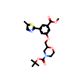 COC(=O)c1cc(OCC2CN(C(=O)OC(C)(C)C)CCO2)cc(-c2ncc(C)s2)c1